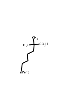 CCCCCCCCCC(C)(C)C(=O)O